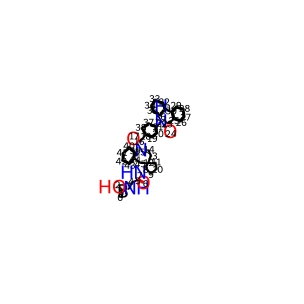 CB(O)NCC(=O)NC1CCCC12CCN(C(=O)c1ccc(NC(=O)c3ccccc3-c3ccccc3)cc1)c1ccccc1C2